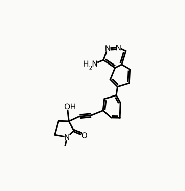 CN1CCC(O)(C#Cc2cccc(-c3ccc4cnnc(N)c4c3)c2)C1=O